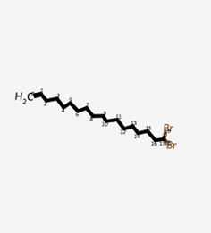 C=CCCCCCCCCCCCCCCCC(Br)Br